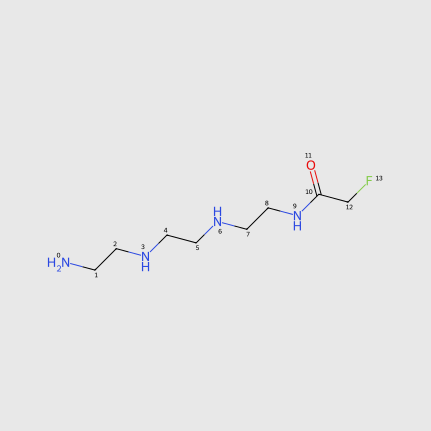 NCCNCCNCCNC(=O)CF